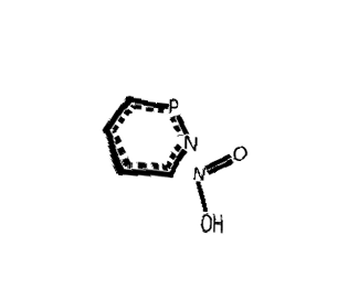 O=NO.c1ccpnc1